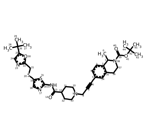 CC1c2ccc(C#CCN3CCC(C(=O)Nc4ncc(SCc5ncc(C(C)(C)C)o5)s4)CC3)cc2CCN1C(=O)OC(C)(C)C